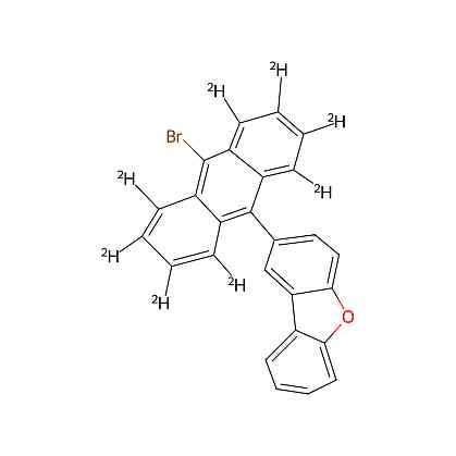 [2H]c1c([2H])c([2H])c2c(-c3ccc4oc5ccccc5c4c3)c3c([2H])c([2H])c([2H])c([2H])c3c(Br)c2c1[2H]